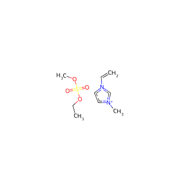 C=Cn1cc[n+](C)c1.CCOS(=O)(=O)OC